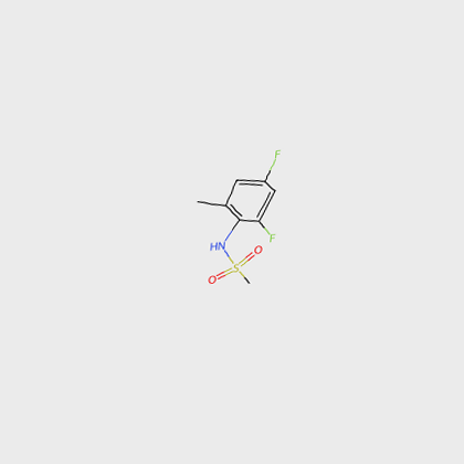 Cc1cc(F)cc(F)c1NS(C)(=O)=O